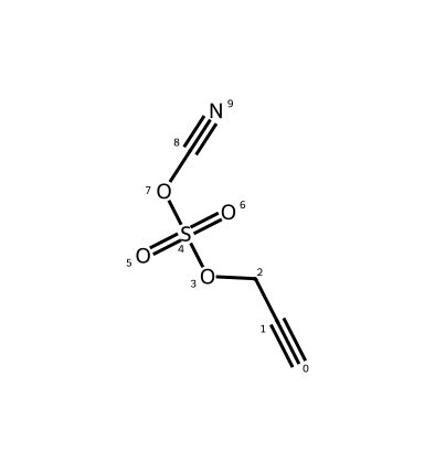 C#CCOS(=O)(=O)OC#N